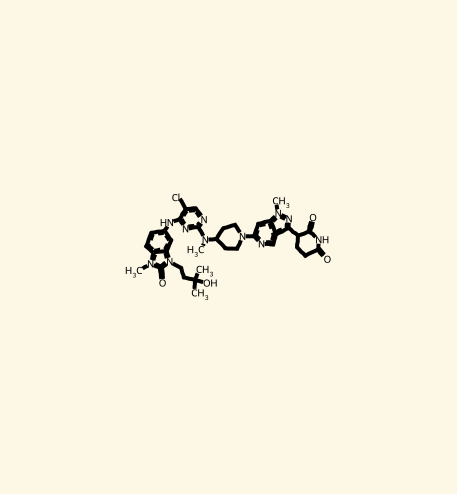 CN(c1ncc(Cl)c(Nc2ccc3c(c2)n(CCC(C)(C)O)c(=O)n3C)n1)C1CCN(c2cc3c(cn2)c(C2CCC(=O)NC2=O)nn3C)CC1